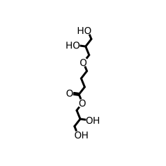 O=C(CCCOCC(O)CO)OCC(O)CO